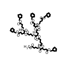 COC(=O)CCCNC(=O)C(CCC(=O)OCc1ccccc1)OC(=O)CCCC(=O)OC(CCC(=O)OC(CCC(=O)OCc1ccccc1)C(=O)NCCCC(=O)OCc1ccccc1)C(=O)NCCCC(=O)OC(CCC(=O)OCc1ccccc1)C(=O)NCCCC(=O)OCc1ccccc1